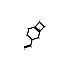 C=CC1CCC2=C(CC2)C1